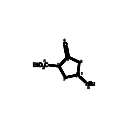 CCCCN1CC(=O)C(C(=O)OCC)C1